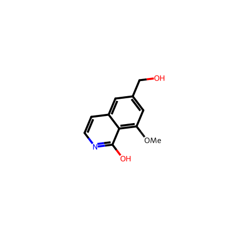 COc1cc(CO)cc2ccnc(O)c12